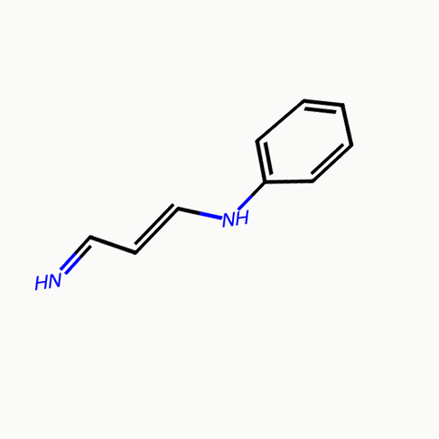 N=C/C=C/Nc1ccccc1